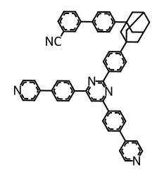 N#Cc1cccc(-c2ccc(C34CC5CC(C3)CC(c3ccc(-c6nc(-c7ccc(-c8ccncc8)cc7)cc(-c7ccc(-c8ccncc8)cc7)n6)cc3)(C5)C4)cc2)c1